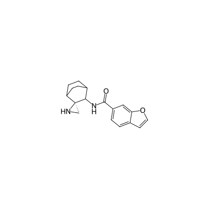 O=C(NC1C2CCC(CC2)[C@@]12CN2)c1ccc2ccoc2c1